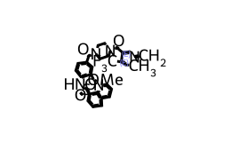 C=N/C=C(C(=O)N1CCN(C(=O)c2ccc(NS(=O)(=O)c3cccc4cccnc34)c(OC)c2)CC1)\C(=C/C)C(F)(F)F